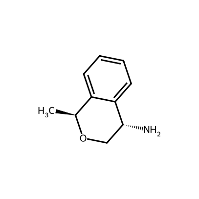 C[C@@H]1OC[C@@H](N)c2ccccc21